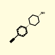 C#Cc1ccc([C@H]2CC[C@@H]([NH])CC2)cc1